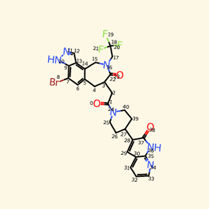 O=C(CC1Cc2cc(Br)c3[nH]ncc3c2CN(CC(F)(F)F)C1=O)N1CCC(c2cc3cccnc3[nH]c2=O)CC1